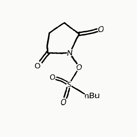 CCCCS(=O)(=O)ON1C(=O)CCC1=O